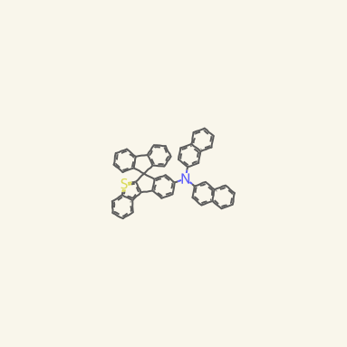 c1ccc2c(c1)-c1ccccc1C21c2cc(N(c3ccc4ccccc4c3)c3ccc4ccccc4c3)ccc2-c2c1sc1ccccc21